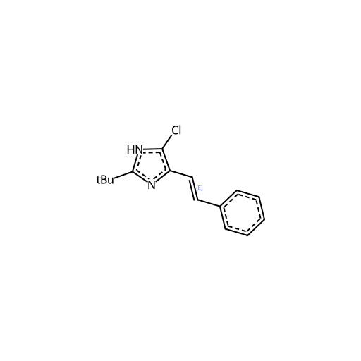 CC(C)(C)c1nc(/C=C/c2ccccc2)c(Cl)[nH]1